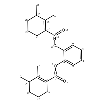 CC1=C([PH](=O)Oc2ccccc2O[PH](=O)C2=C(C)C(C)CCC2)CCCC1C